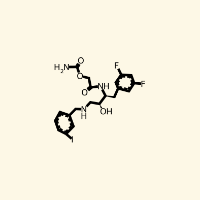 NC(=O)OCC(=O)N[C@@H](Cc1cc(F)cc(F)c1)[C@H](O)CNCc1cccc(I)c1